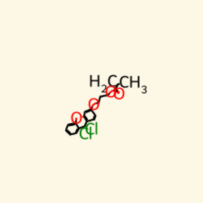 C=C(C)C(=O)OCCCOc1ccc2c(c1)Oc1ccccc1C2(Cl)Cl